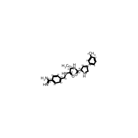 Cc1cccc([C@@H]2CN[C@@H](C(=O)N[C@@H](C)C(=O)NCc3ccc(C(=N)N)cc3)C2)c1